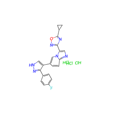 Cl.Cl.Cl.Fc1ccc(-c2n[nH]cc2-c2ccc3ncc(-c4noc(C5CC5)n4)n3c2)cc1